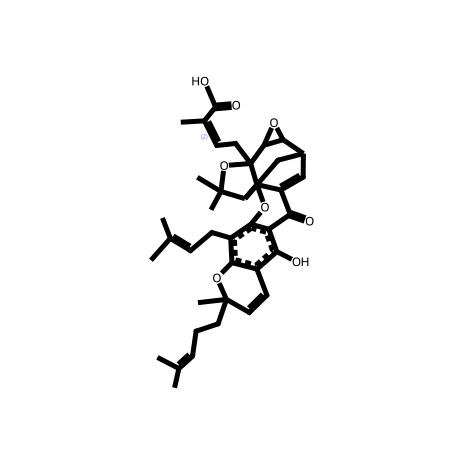 CC(C)=CCCC1(C)C=Cc2c(O)c3c(c(CC=C(C)C)c2O1)OC12C(=CC4CC1C(C)(C)OC2(C/C=C(/C)C(=O)O)C1OC41)C3=O